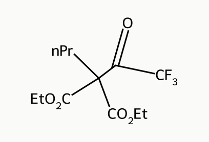 CCCC(C(=O)OCC)(C(=O)OCC)C(=O)C(F)(F)F